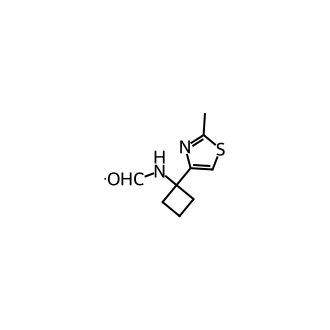 Cc1nc(C2(N[C]=O)CCC2)cs1